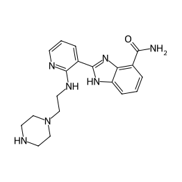 NC(=O)c1cccc2[nH]c(-c3cccnc3NCCN3CCNCC3)nc12